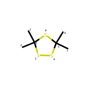 CC1(C)SSC(C)(C)S1